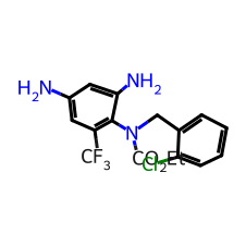 CCOC(=O)N(Cc1ccccc1Cl)c1c(N)cc(N)cc1C(F)(F)F